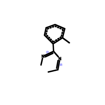 C/C=N\C(=N/C)c1ccccc1C